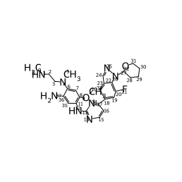 CNCCN(C)c1cc(OC)c(Nc2nccc(-c3cc(F)c4c(cnn4C4CCCCO4)c3)n2)cc1N